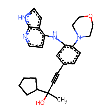 CC(O)(C#Cc1ccc(N2CCOCC2)c(Nc2ccnc3[nH]ccc23)c1)C1CCCC1